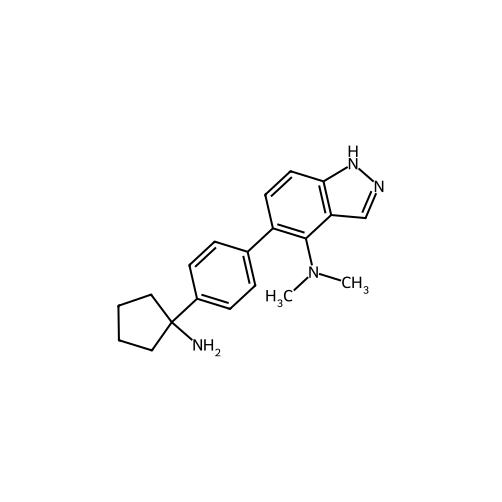 CN(C)c1c(-c2ccc(C3(N)CCCC3)cc2)ccc2[nH]ncc12